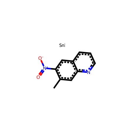 Cc1cc2ncccc2cc1[N+](=O)[O-].[Sn]